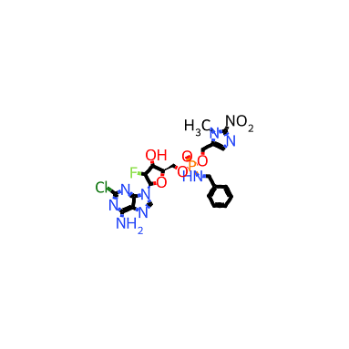 Cn1c(COP(=O)(NCc2ccccc2)OC[C@H]2O[C@@H](n3cnc4c(N)nc(Cl)nc43)C(F)C2O)cnc1[N+](=O)[O-]